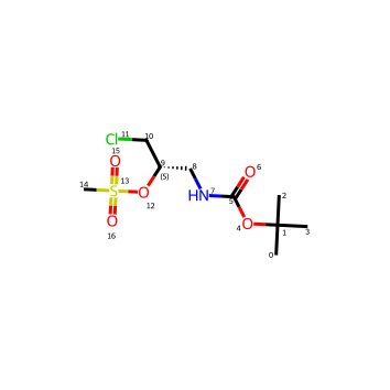 CC(C)(C)OC(=O)NC[C@@H](CCl)OS(C)(=O)=O